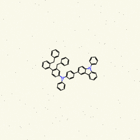 c1ccc(Cc2ccccc2-c2ccc(N(c3ccccc3)c3ccc(-c4ccc5c(c4)c4ccccc4n5-c4ccccc4)cc3)cc2Cc2ccccc2)cc1